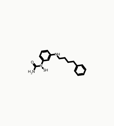 NC(=O)N(S)c1cccc(NCCCCc2ccccc2)c1